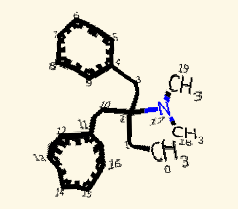 CCC(Cc1ccccc1)(Cc1ccccc1)N(C)C